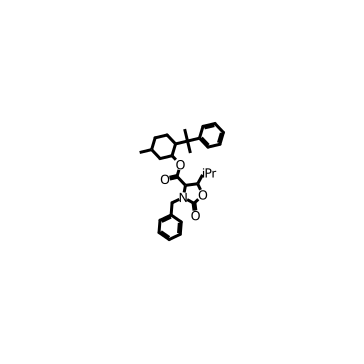 CC1CCC(C(C)(C)c2ccccc2)C(OC(=O)C2C(C(C)C)OC(=O)N2Cc2ccccc2)C1